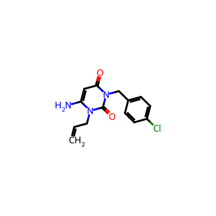 C=CCn1c(N)cc(=O)n(Cc2ccc(Cl)cc2)c1=O